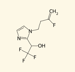 C=C(F)CCn1ccnc1C(O)C(F)(F)F